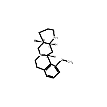 COc1cccc2c1[C@H]1C[C@H]3NCCC[C@H]3CN1CC2